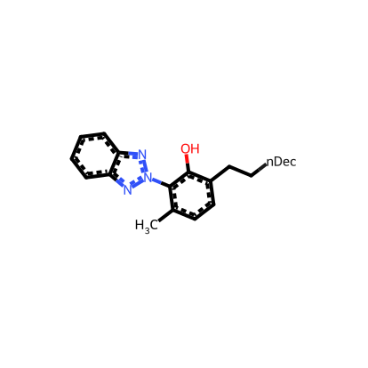 CCCCCCCCCCCCc1ccc(C)c(-n2nc3ccccc3n2)c1O